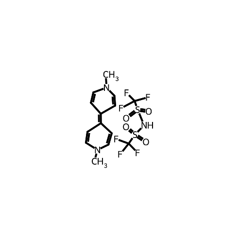 CN1C=CC(=C2C=CN(C)C=C2)C=C1.O=S(=O)(NS(=O)(=O)C(F)(F)F)C(F)(F)F